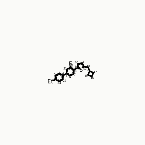 CCc1ccc(-c2ccc(-c3ccc(CC4CCC4)s3)c(F)c2)cc1